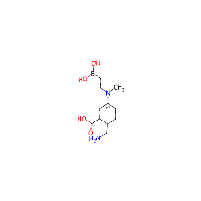 CN(CCB(O)O)[C@@H]1CCC(CN)C(C(=O)O)C1